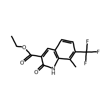 CCOC(=O)c1cc2ccc(C(F)(F)F)c(C)c2[nH]c1=O